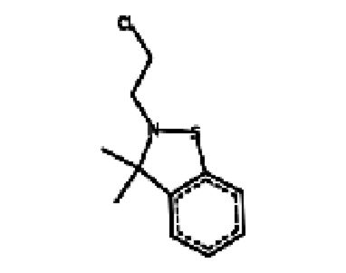 CC1(C)c2ccccc2SN1CCCl